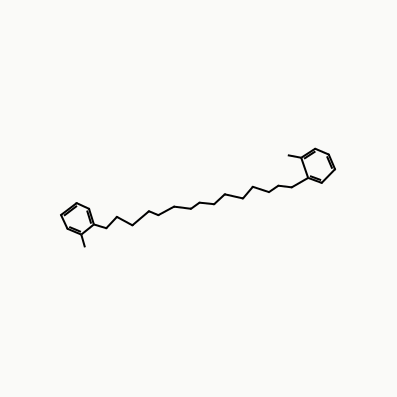 Cc1ccccc1CCCCCCCCCCCCCCCc1ccccc1C